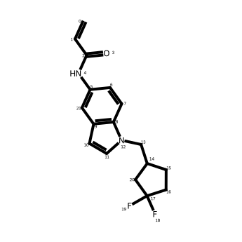 C=CC(=O)Nc1ccc2c(ccn2CC2CCC(F)(F)C2)c1